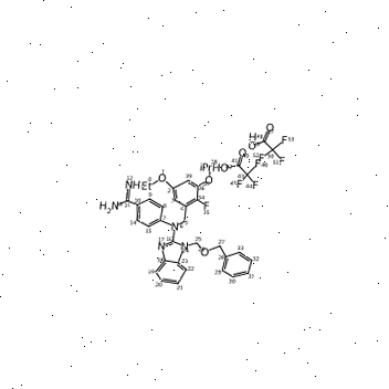 CCOc1cc(CN(c2ccc(C(=N)N)cc2)c2nc3ccccc3n2COCc2ccccc2)c(F)c(OC(C)C)c1.O=C(O)C(F)(F)F.O=C(O)C(F)(F)F